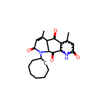 CC1=CC(=O)N(C2CCCCCCC2)C2C(=O)c3[nH]c(=O)cc(C)c3C(=O)C12